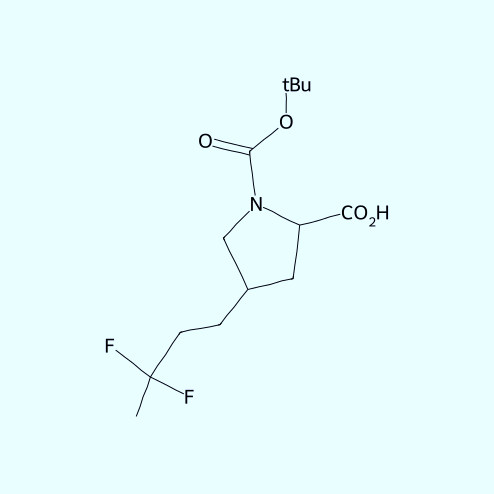 CC(F)(F)CCC1CC(C(=O)O)N(C(=O)OC(C)(C)C)C1